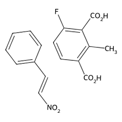 Cc1c(C(=O)O)ccc(F)c1C(=O)O.O=[N+]([O-])/C=C/c1ccccc1